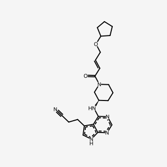 N#CCCc1c[nH]c2ncnc(N[C@@H]3CCCN(C(=O)/C=C/COC4CCCC4)C3)c12